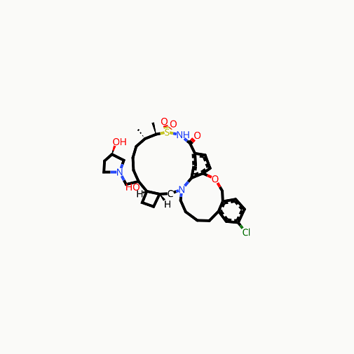 C[C@@H]1[C@@H](C)CCC[C@@](O)(CN2CC[C@@H](O)C2)[C@@H]2CC[C@H]2CN2CCCCc3cc(Cl)ccc3COc3ccc(cc32)C(=O)NS1(=O)=O